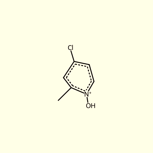 Cc1cc(Cl)cc[n+]1O